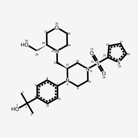 CC(C)(O)c1ccc(N2CCN(S(=O)(=O)c3cccs3)C[C@@H]2CN2CCOC[C@H]2CO)cc1